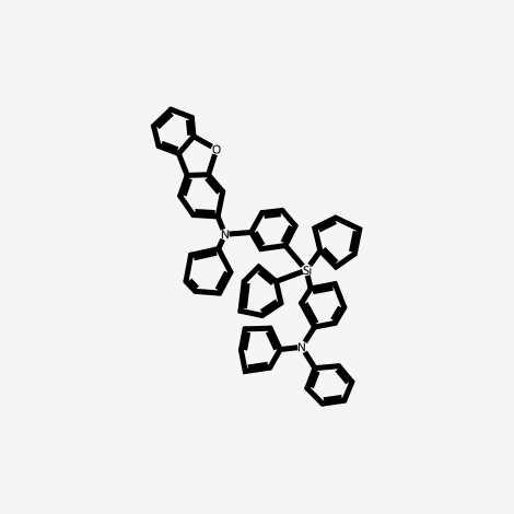 c1ccc(N(c2ccccc2)c2cccc([Si](c3ccccc3)(c3ccccc3)c3cccc(N(c4ccccc4)c4ccc5c(c4)oc4ccccc45)c3)c2)cc1